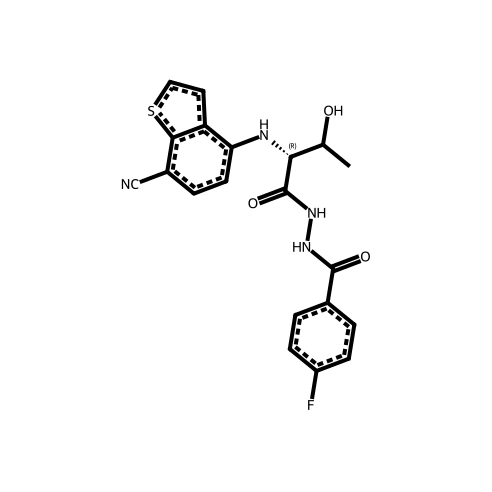 CC(O)[C@@H](Nc1ccc(C#N)c2sccc12)C(=O)NNC(=O)c1ccc(F)cc1